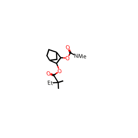 CCC(C)(C)C(=O)OC1C2CCC(C2)C1OC(=O)NC